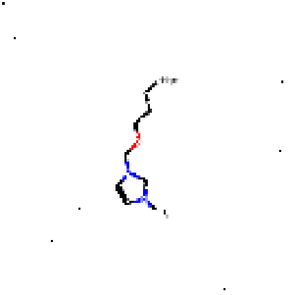 CCCCCCCCCCOCN1C=CN(C)C1